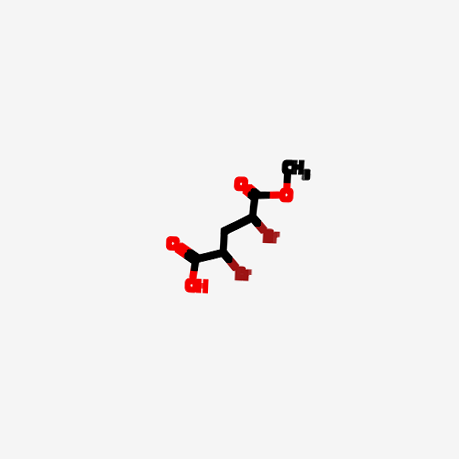 COC(=O)C(Br)CC(Br)C(=O)O